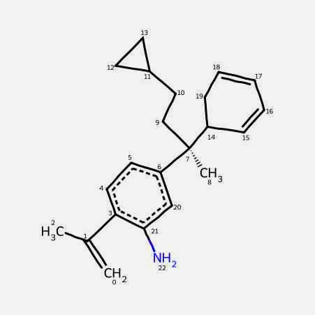 C=C(C)c1ccc([C@@](C)(CCC2CC2)C2C=CC=CC2)cc1N